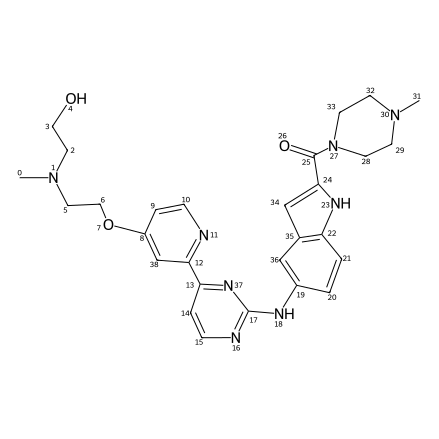 CN(CCO)CCOc1ccnc(-c2ccnc(Nc3ccc4[nH]c(C(=O)N5CCN(C)CC5)cc4c3)n2)c1